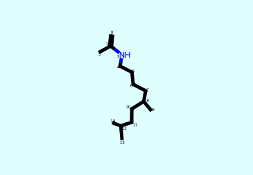 C=C(C)NCCCCC(C)CCC(C)C